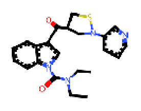 CCN(CC)C(=O)n1cc(C(=O)C2CSN(c3cccnc3)C2)c2ccccc21